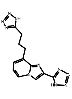 c1cc(CCCc2nnn[nH]2)c2nc(-c3nnn[nH]3)cn2c1